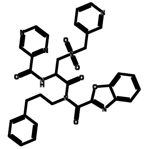 O=C(NC(CS(=O)(=O)Cc1cccnc1)C(=O)N(CCCc1ccccc1)C(=O)c1nc2ccccc2o1)c1cnccn1